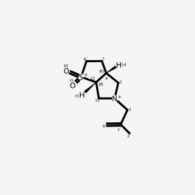 C=C(C)CN1C[C@H]2CCS(=O)(=O)[C@H]2C1